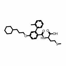 CSCCC(NC(=O)c1ccc(OCCCC2CCCCC2)cc1-c1ccccc1C)C(=O)O